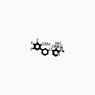 COc1c(C2CCC[C@H](Oc3ccnc(N(C)C)c3S(N)(=O)=O)C2)cc(F)c(F)c1F